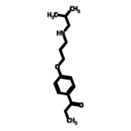 CCC(=O)c1ccc(OCCCNCC(C)C)cc1